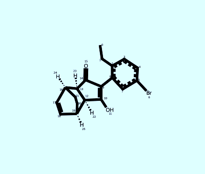 CCc1ccc(Br)cc1C1=C(O)[C@@H]2[C@H](C1=O)[C@@H]1C=C[C@H]2CC1